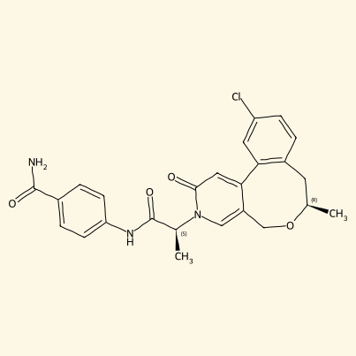 C[C@@H]1Cc2ccc(Cl)cc2-c2cc(=O)n([C@@H](C)C(=O)Nc3ccc(C(N)=O)cc3)cc2CO1